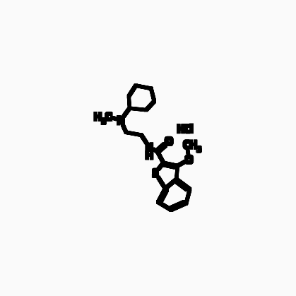 COc1c(C(=O)NCCN(C)C2CCCCC2)sc2ccccc12.Cl